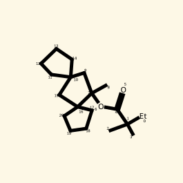 CCC(C)(C)C(=O)OC1(C)CC2(CCCC2)CC12CCCC2